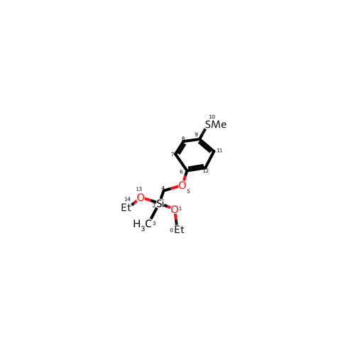 CCO[Si](C)(COc1ccc(SC)cc1)OCC